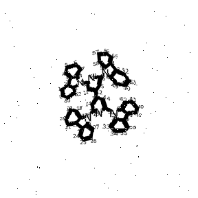 C1=CC2c3ccccc3N(c3cc(-c4cc(-n5c6ccccc6c6ccccc65)nc(-n5c6ccccc6c6ccccc65)c4)cc(-n4c5ccccc5c5ccccc54)n3)C2C=C1